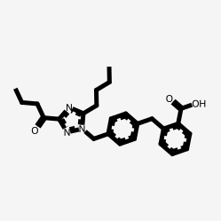 CCCCc1nc(C(=O)CCC)nn1Cc1ccc(Cc2ccccc2C(=O)O)cc1